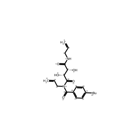 C=CCNC(=O)[C@H](O)[C@@H](O)C(=O)N(CC=C)C(=O)c1ccc(C(C)(C)C)cc1